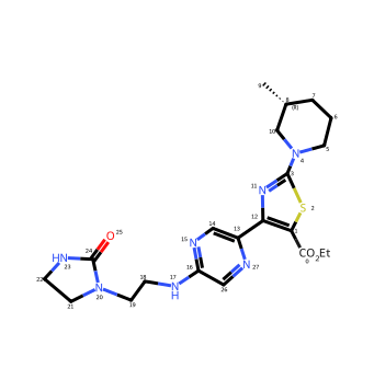 CCOC(=O)c1sc(N2CCC[C@@H](C)C2)nc1-c1cnc(NCCN2CCNC2=O)cn1